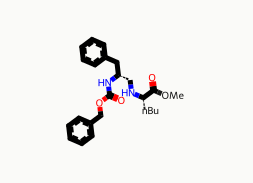 CCCC[C@H](NC[C@@H](Cc1ccccc1)NC(=O)OCc1ccccc1)C(=O)OC